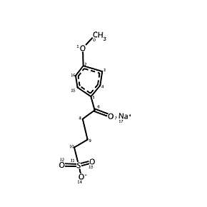 COc1ccc(C(=O)CCCS(=O)(=O)[O-])cc1.[Na+]